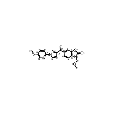 COCn1c(=O)sc2cc(C(C)c3ccn(-c4ccc(SC)cn4)n3)ccc21